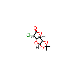 CC1(C)OC2[C@H](OC3[C@@H]2OC(=O)[C@@H]3Cl)O1